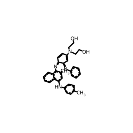 Cc1ccc(Nc2cc(C)c(/N=C3/C=CC(N(CCO)CCO)=C/C3=N\c3ccccc3)c3ccccc23)cc1